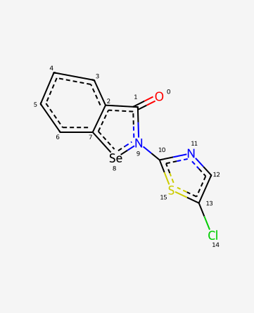 O=c1c2ccccc2[se]n1-c1ncc(Cl)s1